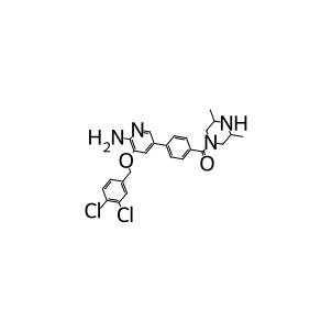 CC1CN(C(=O)c2ccc(-c3cnc(N)c(OCc4ccc(Cl)c(Cl)c4)c3)cc2)CC(C)N1